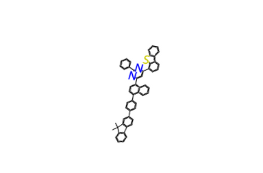 CC1(C)c2ccccc2-c2ccc(-c3ccc(-c4ccc(-c5cc(-c6cccc7c6sc6ccccc67)nc(-c6ccccc6)n5)c5ccccc45)cc3)cc21